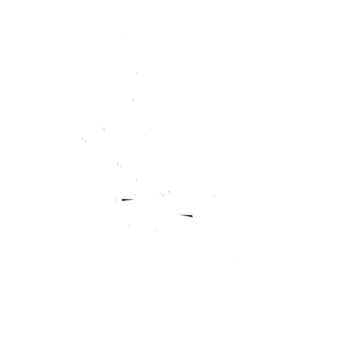 CCOC(=O)OC(C)OC(=O)[C@@H]1N2C(=O)[C@@H](NC(=O)C(N)c3ccc(O)cc3)[C@H]2SC1(C)C